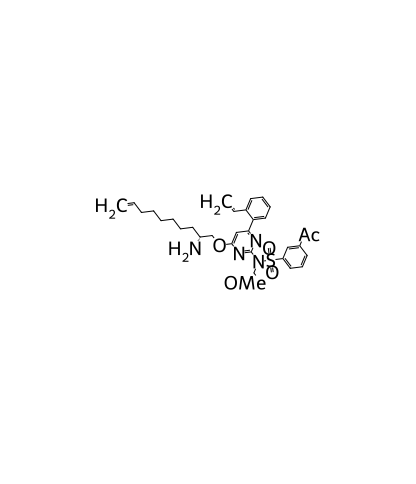 C=CCCCCCC[C@@H](N)COc1cc(-c2ccccc2C=C)nc(N(COC)S(=O)(=O)c2cccc(C(C)=O)c2)n1